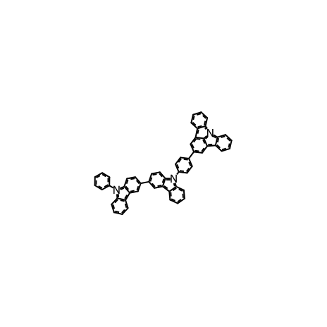 c1ccc(-n2c3ccccc3c3cc(-c4ccc5c(c4)c4ccccc4n5-c4ccc(-c5cc6c7ccccc7n7c8ccccc8c(c5)c67)cc4)ccc32)cc1